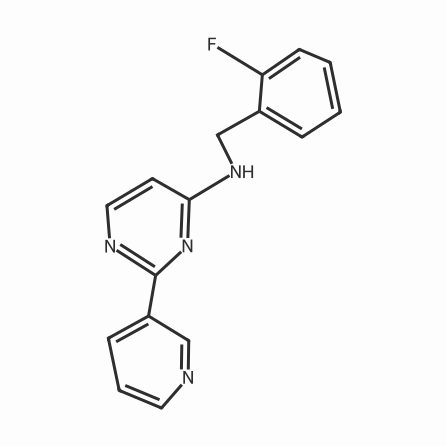 Fc1ccccc1CNc1ccnc(-c2cccnc2)n1